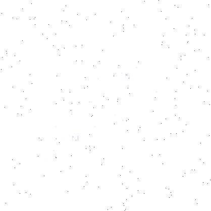 CC(C)(Br)C(=O)Nc1ccc2c(c1)C(=O)C(c1ccc3ccccc3n1)C2=O